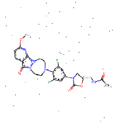 COc1ccc2c(=O)n3n(c2n1)CCN(c1c(F)cc(N2C[C@H](CNC(C)=O)OC2=O)cc1F)CC3